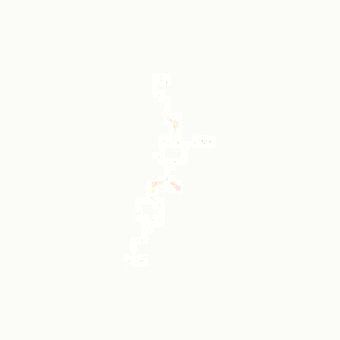 COc1cc(C(=O)Oc2ccc(/C=C/C(=O)O)cc2)ccc1OCCCC(F)(F)F